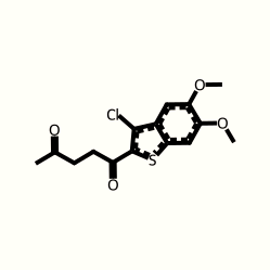 COc1cc2sc(C(=O)CCC(C)=O)c(Cl)c2cc1OC